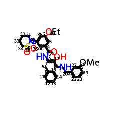 CCOc1cc(C(=O)N[C@@H](Cc2ccccc2)[C@H](O)CNCc2cccc(OC)c2)cc(N2CCCCS2(=O)=O)c1